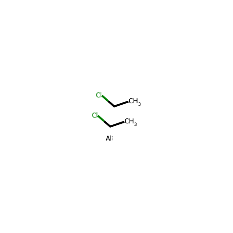 CCCl.CCCl.[Al]